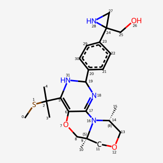 CSC(C)(C)C1=C2OC[C@]3(C)COC[C@@H](C)N3C2=NC(c2ccc(C3(CO)CN3)cc2)N1